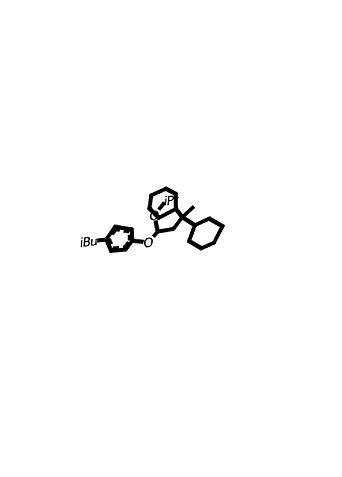 CCC(C)c1ccc(OC(CC(C)(C2CCCCC2)C2CCCCC2)OC(C)C)cc1